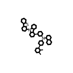 Cc1cccc(-c2ccc(N(c3cccc(-c4cccc5c4c4ccccc4n5-c4cccc5c4sc4ccccc45)c3)c3cccc4ccccc34)cc2)c1C